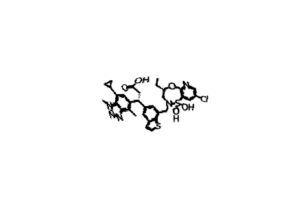 CC[C@@H]1CN(Cc2cc([C@@H](CC(=O)O)c3cc(C4CC4)c4c(nnn4C)c3C)cc3ccsc23)S(O)(O)c2cc(Cl)cnc2O1